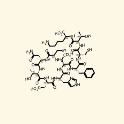 CC(C)C[C@H](N)C(=O)N[C@@H](CC(N)=O)C(=O)N[C@H](C(=O)N[C@@H](CC(=O)O)C(=O)N[C@@H](Cc1c[nH]cn1)C(=O)N[C@@H](CC(=O)O)C(=O)N[C@@H](Cc1ccccc1)C(=O)N[C@@H](CS)C(=O)N[C@H](C(=O)N[C@@H](CCCCN)C(=O)O)[C@@H](C)O)[C@@H](C)O